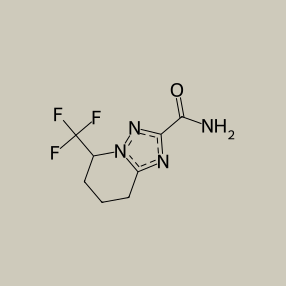 NC(=O)c1nc2n(n1)C(C(F)(F)F)CCC2